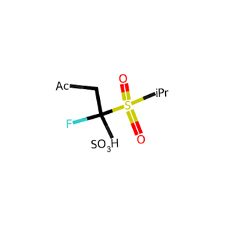 CC(=O)CC(F)(S(=O)(=O)O)S(=O)(=O)C(C)C